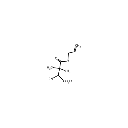 [C-]#[N+]C(C(=O)OCC)C(C)(C)C(=O)OCC=C